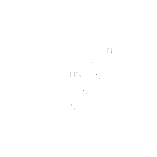 c1ccc(Oc2ccc3ncnc(Nc4nc5cccnc5s4)c3c2)cc1